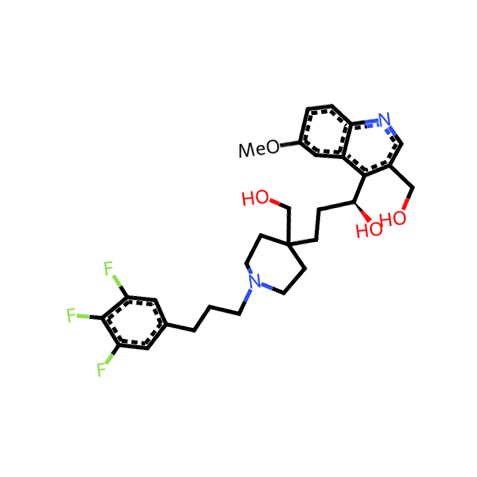 COc1ccc2ncc(CO)c([C@@H](O)CCC3(CO)CCN(CCCc4cc(F)c(F)c(F)c4)CC3)c2c1